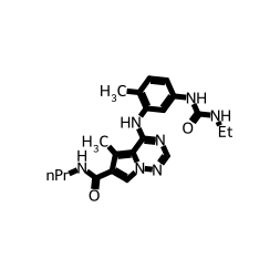 CCCNC(=O)c1cn2ncnc(Nc3cc(NC(=O)NCC)ccc3C)c2c1C